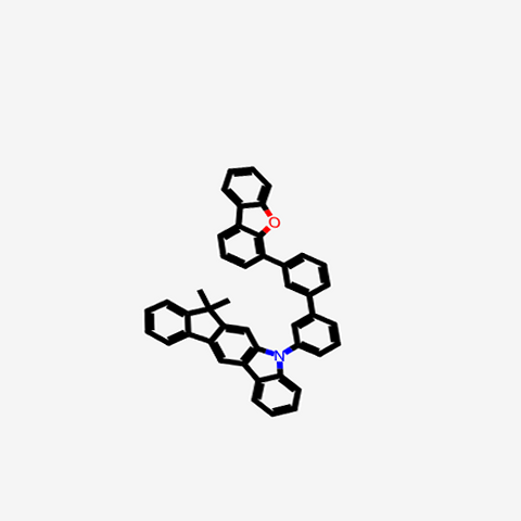 CC1(C)c2ccccc2-c2cc3c4ccccc4n(-c4cccc(-c5cccc(-c6cccc7c6oc6ccccc67)c5)c4)c3cc21